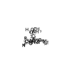 CC(C)NC(=O)[C@H]1CC[C@@H](n2/c(=N/C(=O)c3cc(F)cc(C#N)c3)[nH]c3cnc(OCCN4CCCCC4)cc32)CC1